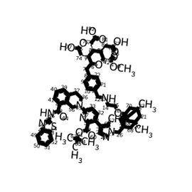 COC(=O)[C@@H]1OC(Cc2ccc(CNCCOC34CC5(C)CC(C)(CC(Cn6ncc(-c7ccc(N8CCc9cccc(C(=O)Nc%10nc%11ccccc%11s%10)c9C8)nc7C(=O)OC(C)(C)C)c6C)(C5)C3)C4)cc2)[C@H](CC(=O)O)[C@H](CC(=O)O)[C@H]1CC(=O)O